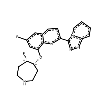 Fc1cc(O[C@@H]2CCNCC[C@@H]2F)c2nc(-c3nnc4ccccn34)ccc2c1